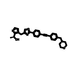 C[C@H](O)c1nccn1Cc1coc(-c2ccc(C#Cc3ccc(CN4CCOCC4)cc3)cc2)n1